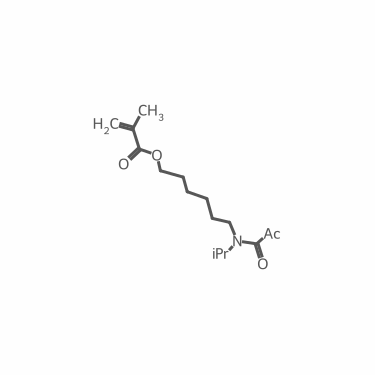 C=C(C)C(=O)OCCCCCCN(C(=O)C(C)=O)C(C)C